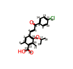 Cc1cc(/C=C/C(=O)c2ccc(Cl)cc2)c(OC(C)C)c(C)c1C(=O)O